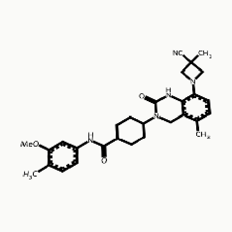 COc1cc(NC(=O)C2CCC(N3Cc4c(C)ccc(N5CC(C)(C#N)C5)c4NC3=O)CC2)ccc1C